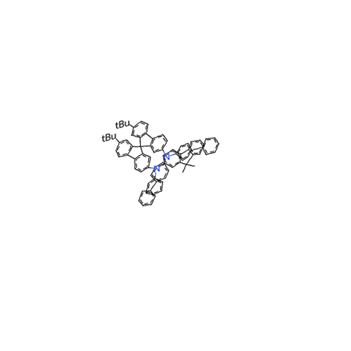 CC(C)(C)c1ccc2c(c1)C1(c3cc(N(c4ccc(-c5ccccc5)cc4)c4ccc(-c5ccccc5)cc4)ccc3-2)c2cc(N(c3ccccc3)c3ccc4c(c3)C(C)(C)c3ccccc3-4)ccc2-c2ccc(C(C)(C)C)cc21